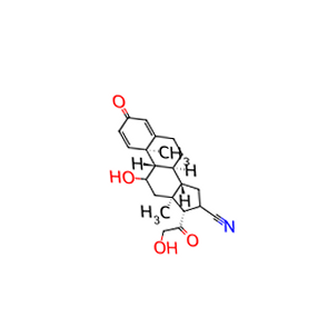 C[C@]12CC(O)[C@H]3[C@@H](CCC4=CC(=O)C=C[C@@]43C)[C@@H]1CC(C#N)[C@@H]2C(=O)CO